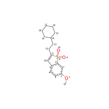 COc1ccc2c(c1)S(=O)(=O)C(CCC1CCCCC1)=C2